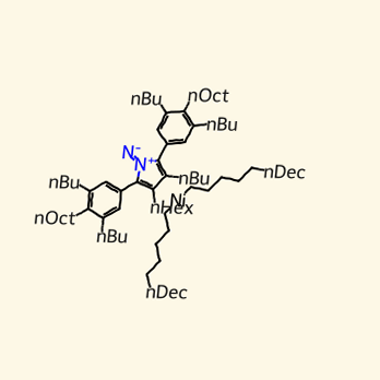 CCCCCCCCCCCCCC[CH2][Ni][CH2]CCCCCCCCCCCCCC.CCCCCCCCc1c(CCCC)cc(C2=C(CCCC)C(CCCCCC)=C(c3cc(CCCC)c(CCCCCCCC)c(CCCC)c3)[N+]2=[N-])cc1CCCC